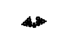 Cc1cc(C)c(B(c2ccccc2)c2ccc(-c3ccc(-c4ccc(B(c5c(C)cc(C)cc5C)c5c(C)cc(C)cc5C)s4)s3)s2)c(C)c1